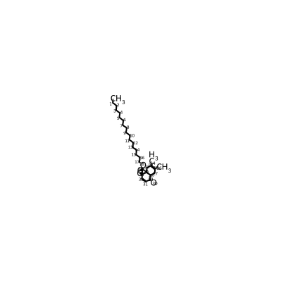 CCCCCCCCCCCCCCCCCCOC(=O)[C@@]12CC(C)=C(C)CC1C(=O)C=CC2=O